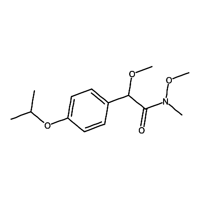 COC(C(=O)N(C)OC)c1ccc(OC(C)C)cc1